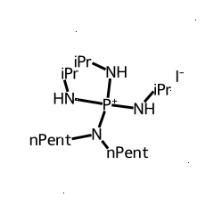 CCCCCN(CCCCC)[P+](NC(C)C)(NC(C)C)NC(C)C.[I-]